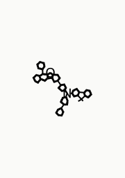 CC1(C)c2ccccc2-c2ccc(N(c3ccc(-c4ccccc4)cc3)c3ccc(-c4ccc5oc6c(-c7ccccc7)c7ccccc7cc6c5c4)cc3)cc21